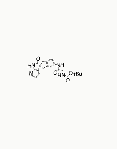 CC(C)(C)OC(=O)NCC(=O)Nc1ccc2c(c1)CC1(C2)C(=O)Nc2ncccc21